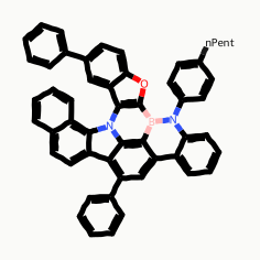 CCCCCc1ccc(N2B3c4oc5ccc(-c6ccccc6)cc5c4-n4c5c3c(cc(-c3ccccc3)c5c3ccc5ccccc5c34)-c3ccccc32)cc1